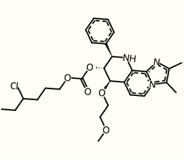 CCC(Cl)CCCOC(=O)O[C@@H]1[C@@H](c2ccccc2)Nc2c(ccn3c(C)c(C)nc23)[C@H]1OCCOC